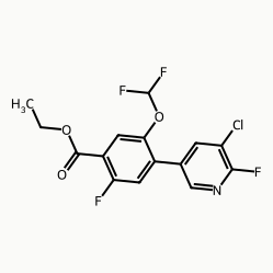 CCOC(=O)c1cc(OC(F)F)c(-c2cnc(F)c(Cl)c2)cc1F